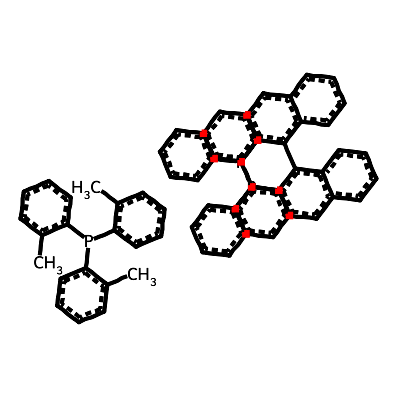 Cc1ccccc1P(c1ccccc1C)c1ccccc1C.c1ccc(P(c2ccccc2)c2ccc3ccccc3c2-c2c(P(c3ccccc3)c3ccccc3)ccc3ccccc23)cc1